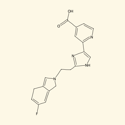 O=C(O)c1ccnc(-c2c[nH]c(CCN3C=C4CC=C(F)C=C4C3)n2)c1